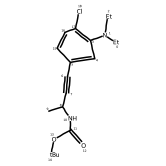 CCN(CC)c1cc(C#CC(C)NC(=O)OC(C)(C)C)ccc1Cl